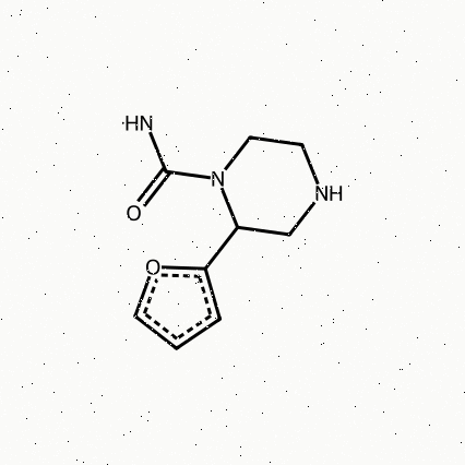 [NH]C(=O)N1CCNCC1c1ccco1